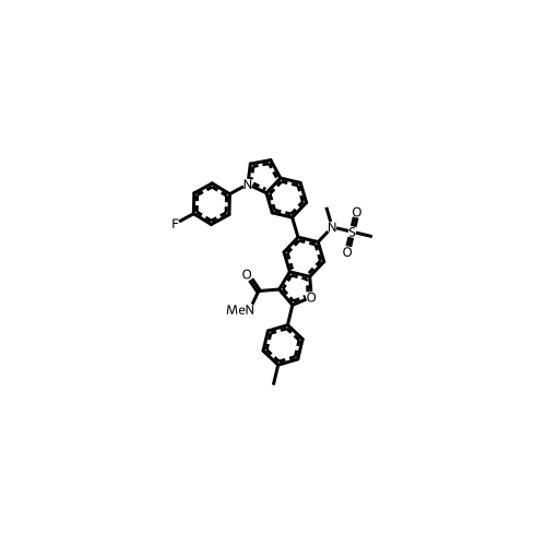 CNC(=O)c1c(-c2ccc(C)cc2)oc2cc(N(C)S(C)(=O)=O)c(-c3ccc4ccn(-c5ccc(F)cc5)c4c3)cc12